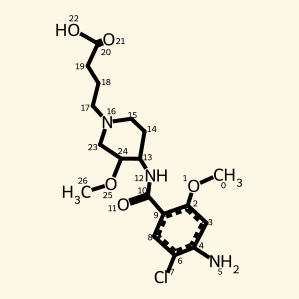 COc1cc(N)c(Cl)cc1C(=O)NC1CCN(CCCC(=O)O)CC1OC